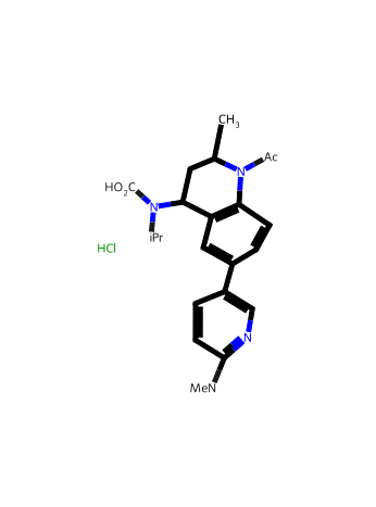 CNc1ccc(-c2ccc3c(c2)C(N(C(=O)O)C(C)C)CC(C)N3C(C)=O)cn1.Cl